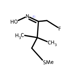 CSCC(C)(C)/C(CF)=N\O